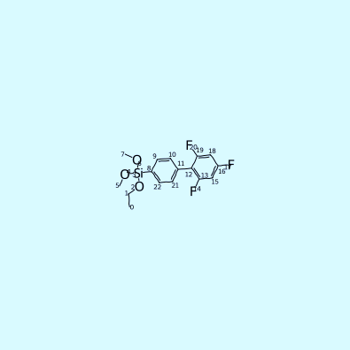 CCO[Si](OC)(OC)c1ccc(-c2c(F)cc(F)cc2F)cc1